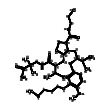 COCCCOc1cc(C[C@@H](C[C@H]2[C@H](C[C@H](C(=O)NCC(C)(C)C(N)=O)C(C)C)OCN2C(=O)OCCCl)C(C)C)ccc1OC